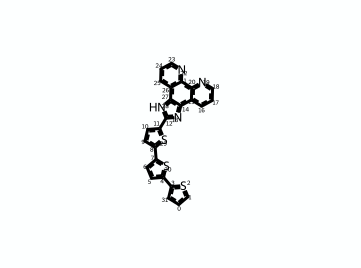 c1csc(-c2ccc(-c3ccc(-c4nc5c6cccnc6c6ncccc6c5[nH]4)s3)s2)c1